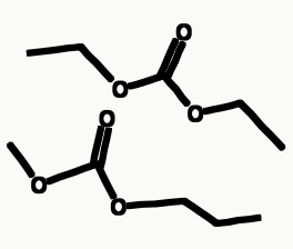 CCCOC(=O)OC.CCOC(=O)OCC